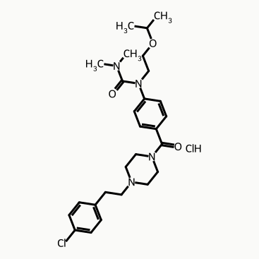 CC(C)OCCN(C(=O)N(C)C)c1ccc(C(=O)N2CCN(CCc3ccc(Cl)cc3)CC2)cc1.Cl